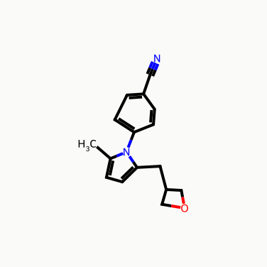 Cc1ccc(CC2COC2)n1-c1ccc(C#N)cc1